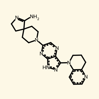 NC1=NCCC12CCN(c1cnc3c(N4CCCc5ncccc54)n[nH]c3n1)CC2